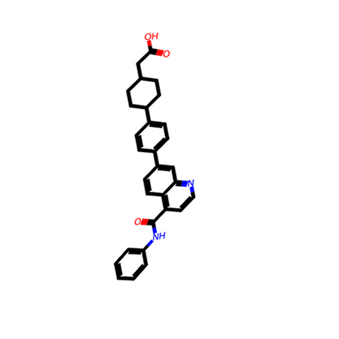 O=C(O)CC1CCC(c2ccc(-c3ccc4c(C(=O)Nc5ccccc5)ccnc4c3)cc2)CC1